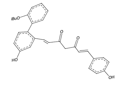 CC(C)COc1ccccc1-c1ccc(O)cc1/C=C/C(=O)CC(=O)/C=C/c1ccc(O)cc1